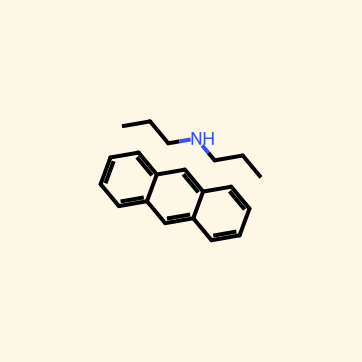 CCCNCCC.c1ccc2cc3ccccc3cc2c1